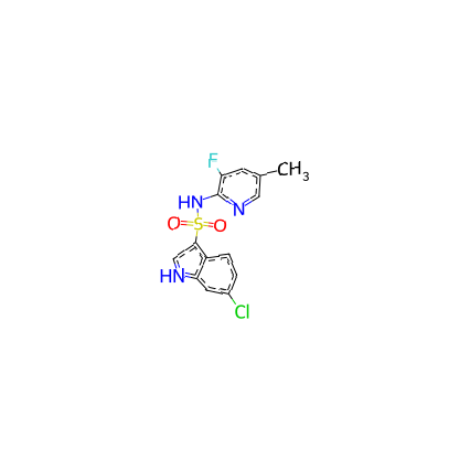 Cc1cnc(NS(=O)(=O)c2c[nH]c3cc(Cl)ccc23)c(F)c1